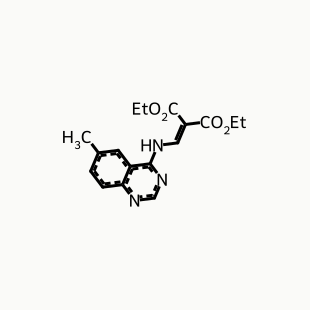 CCOC(=O)C(=CNc1ncnc2ccc(C)cc12)C(=O)OCC